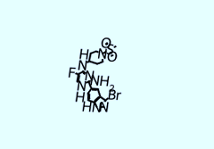 CS(=O)(=O)N1CCC(NC2=NC(N)(c3ccc4[nH]nc(Br)c4c3)NC=C2F)CC1